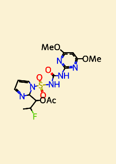 COc1cc(OC)nc(NC(=O)NS(=O)(=O)N2C=CC=NC2C(OC(C)=O)C(C)F)n1